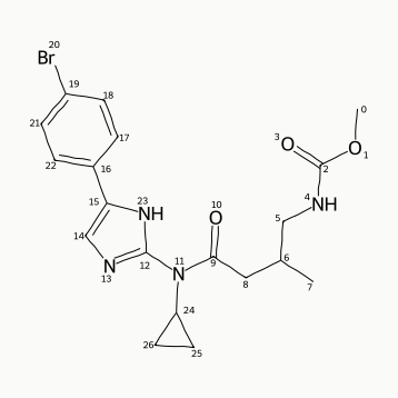 COC(=O)NCC(C)CC(=O)N(c1ncc(-c2ccc(Br)cc2)[nH]1)C1CC1